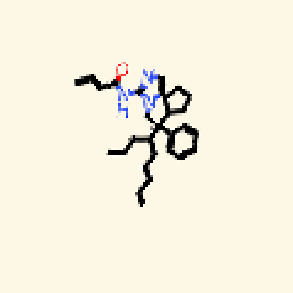 C=CCC(=O)Nc1nccn1C[C@@](c1ccccc1)(C(CCC)CCCCC)C1CCCC1